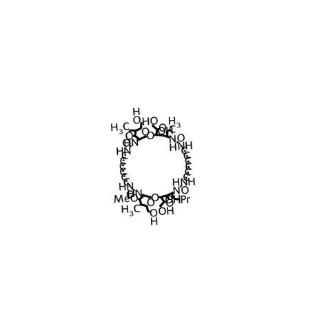 COC1C(C)C(CO)OC2OC3C(CO)OC(C(C)C)C(NC(=O)NCCCCCCNC(=O)NC4C(C)OC(CO)C(OC5OC(CO)C6C(C)OC6C5NC(=O)NCCCCCCNC(=O)NC21)C4O)C3O